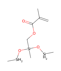 C=C(C)C(=O)OC[Si](C)(O[SiH2]C)O[SiH2]C